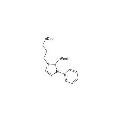 CCCCCCCCCCCCCN1C=CN(c2ccccc2)C1CCCCC